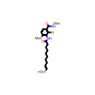 CCCCCCCCC=CCCCCCCCC(=O)Nc1c(SC)ccc(C(=O)NSC)c1CC